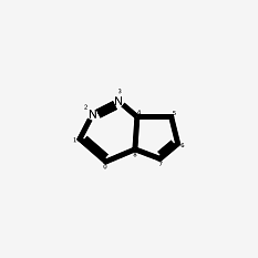 [C]1=CN=NC2CC=CC12